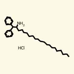 CCCCCCCCCCCCCCCCCCCC(N)C(c1ccccc1)c1ccccc1.Cl